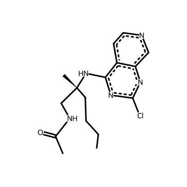 CCCC[C@](C)(CNC(C)=O)Nc1nc(Cl)nc2cnccc12